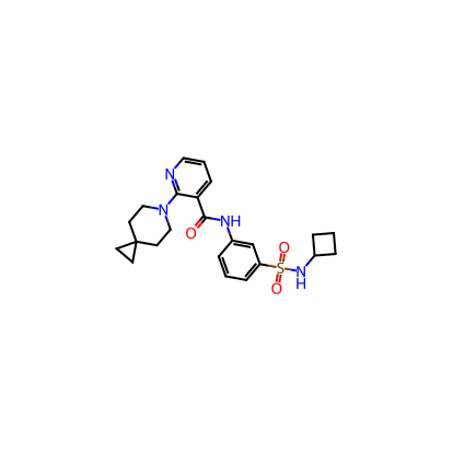 O=C(Nc1cccc(S(=O)(=O)NC2CCC2)c1)c1cccnc1N1CCC2(CC1)CC2